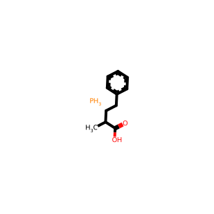 CC(CCc1ccccc1)C(=O)O.P